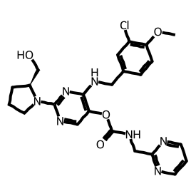 COc1ccc(CNc2nc(N3CCC[C@H]3CO)ncc2OC(=O)NCc2ncccn2)cc1Cl